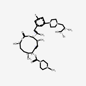 CC[C@H](O)[C@@H](C)CN1CCN(c2cc(F)cc(/C=C(\C)[C@H]3OC(=O)C[C@H](O)CC[C@H](C)[C@@H](OC(=O)N4CCN(C)CC4)/C=C/[C@@H]3C)c2)CC1